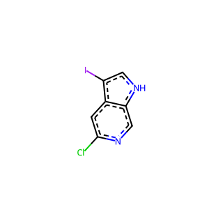 Clc1cc2c(I)c[nH]c2cn1